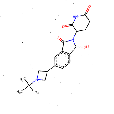 CC(C)(C)N1CC(c2ccc3c(c2)C(=O)N(C2CCC(=O)NC2=O)C3O)C1